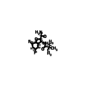 CC(C)(C)C(=O)Nc1c(C(N)=O)oc2c(F)cc(F)cc12